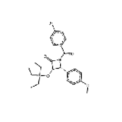 CC[Si](CC)(CC)O[C@@H]1C(=O)N(C(=O)c2ccc(Br)cc2)[C@@H]1c1ccc(OC)cc1